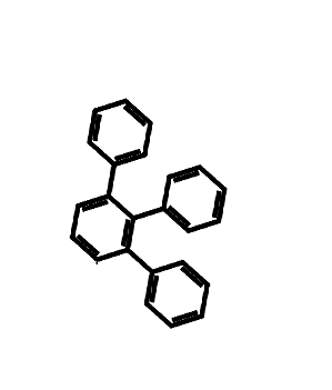 [c]1ccc(-c2ccccc2)c(-c2ccccc2)c1-c1ccccc1